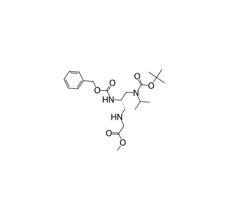 COC(=O)CNC[C@@H](CN(C(=O)OC(C)(C)C)C(C)C)NC(=O)OCc1ccccc1